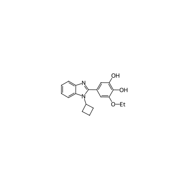 CCOc1cc(-c2nc3ccccc3n2C2CCC2)cc(O)c1O